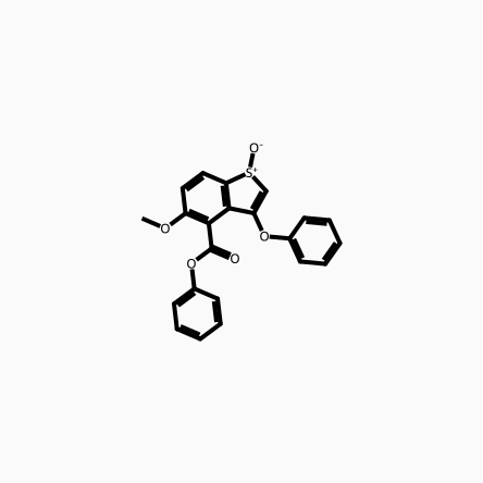 COc1ccc2c(c(Oc3ccccc3)c[s+]2[O-])c1C(=O)Oc1ccccc1